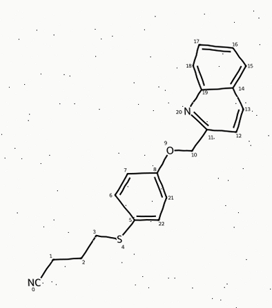 N#CCCCSc1ccc(OCc2ccc3ccccc3n2)cc1